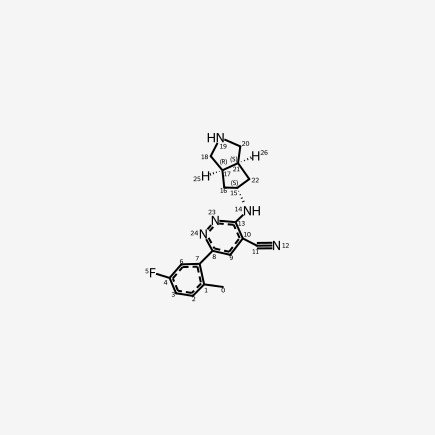 Cc1ccc(F)cc1-c1cc(C#N)c(N[C@@H]2C[C@H]3CNC[C@H]3C2)nn1